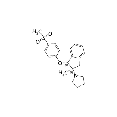 C[C@@]1(N2CCCC2)Cc2ccccc2[C@H]1Oc1ccc(S(C)(=O)=O)cc1